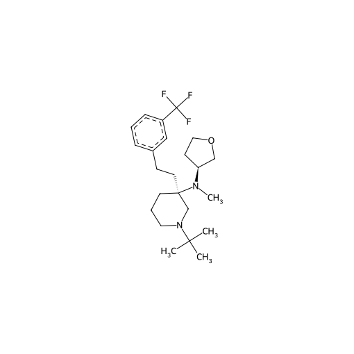 CN([C@H]1CCOC1)[C@]1(CCc2cccc(C(F)(F)F)c2)CCCN(C(C)(C)C)C1